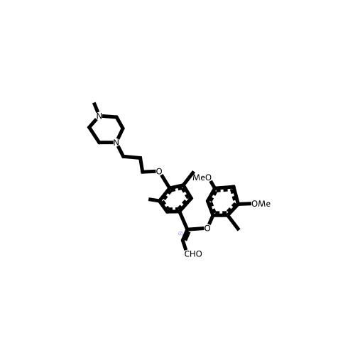 COc1cc(OC)c(C)c(O/C(=C\C=O)c2cc(C)c(OCCCN3CCN(C)CC3)c(C)c2)c1